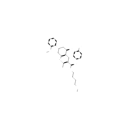 COCCCCOC(=O)C1=C(C)NC2=C(C(=O)C[C@H](c3ccccc3OC)C2)[C@@H]1c1cccc(O)c1